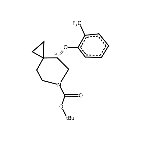 CC(C)(C)OC(=O)N1CCC2(CC2)[C@H](Oc2ccccc2C(F)(F)F)C1